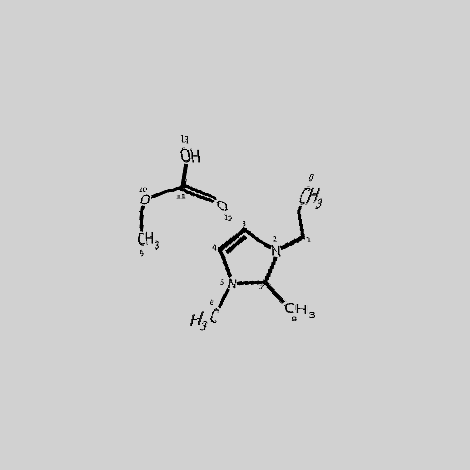 CCN1C=CN(C)C1C.COC(=O)O